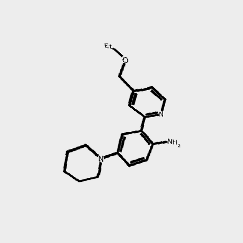 CCOCc1ccnc(-c2cc(N3CCCCC3)ccc2N)c1